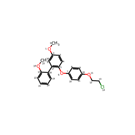 COc1ccc(Oc2ccc(OCCCl)cc2)c(-c2ccccc2OC)c1